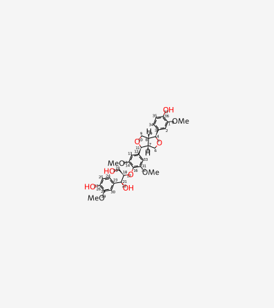 COc1cc([C@H]2OC[C@H]3[C@@H]2CO[C@@H]3c2cc(OC)c(O[C@H](CO)[C@@H](O)c3ccc(O)c(OC)c3)c(OC)c2)ccc1O